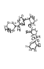 O=S(=O)(Nc1ccc(Oc2ccncc2-c2ccnc(N[C@H]3CCCNC3)n2)c(F)c1)c1ccccc1Cl